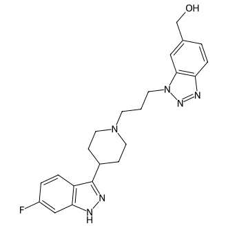 OCc1ccc2nnn(CCCN3CCC(c4n[nH]c5cc(F)ccc45)CC3)c2c1